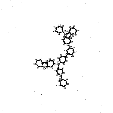 C1=Cc2c(sc3cc(N(c4ccc(-c5ccccc5)cc4)c4ccc(-c5cccc(-c6ccc7c(c6)c6ccccc6n7-c6ccccc6)c5)cc4)ccc23)CC1